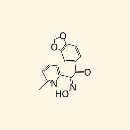 Cc1cccc(/C(=N\O)C(=O)c2ccc3c(c2)OCO3)n1